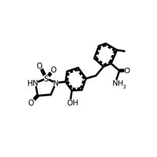 Cc1cccc(Cc2ccc(N3CC(=O)NS3(=O)=O)c(O)c2)c1C(N)=O